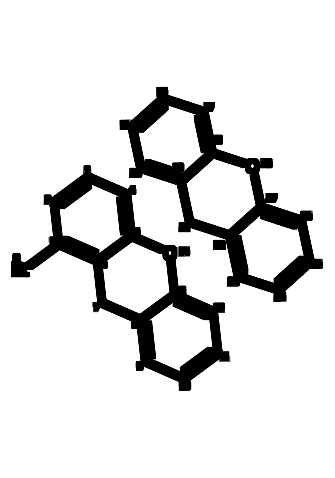 CCc1cccc2c1Cc1ccccc1O2.c1ccc2c(c1)Cc1ccccc1O2